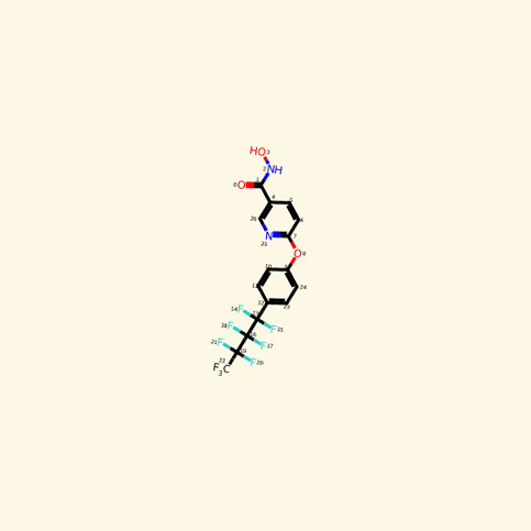 O=C(NO)c1ccc(Oc2ccc(C(F)(F)C(F)(F)C(F)(F)C(F)(F)F)cc2)nc1